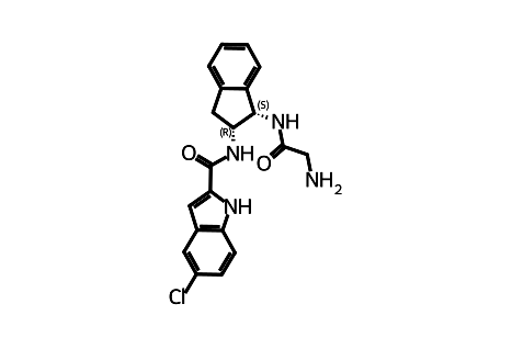 NCC(=O)N[C@H]1c2ccccc2C[C@H]1NC(=O)c1cc2cc(Cl)ccc2[nH]1